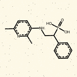 Cc1ccc(NCC(c2ccccc2)P(=O)(O)O)c(C)n1